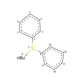 CCCC[S+](c1ccccc1)c1ccccc1